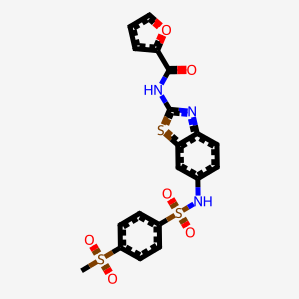 CS(=O)(=O)c1ccc(S(=O)(=O)Nc2ccc3nc(NC(=O)c4ccco4)sc3c2)cc1